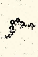 COc1nc(-c2cccc(-c3cccc(-c4ccn5c(=O)c(CN6CC(C(C)(C)O)C6)cnc5c4)c3Cl)c2Cl)ccc1CNCC1CCC(=O)N1